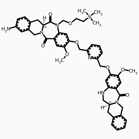 COc1cc2c(cc1OCc1cccc(COc3cc4c(cc3OC)C(=O)N3Cc5cc(N)ccc5C[C@H]3C(=O)N4COCC[Si](C)(C)C)n1)NC[C@@H]1Cc3ccccc3CN1C2=O